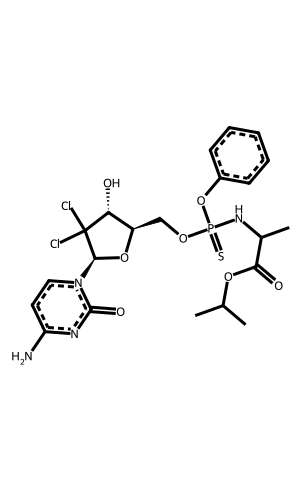 CC(C)OC(=O)C(C)NP(=S)(OC[C@H]1O[C@@H](n2ccc(N)nc2=O)C(Cl)(Cl)[C@@H]1O)Oc1ccccc1